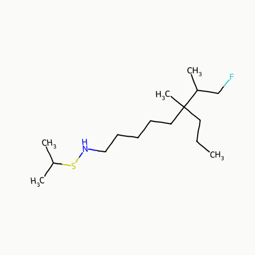 CCCC(C)(CCCCCNSC(C)C)C(C)CF